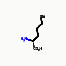 CC(C)(C)CCC[C@@H](N)C(=O)O